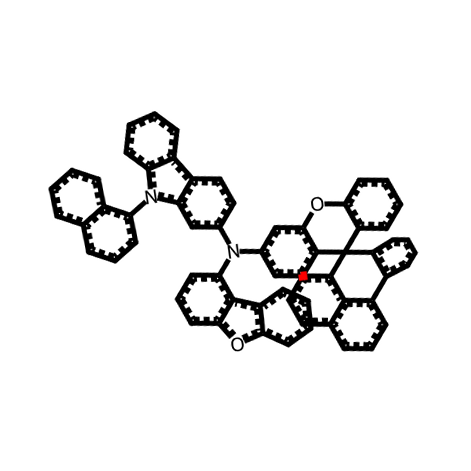 c1ccc2c(c1)Oc1cc(N(c3ccc4c5ccccc5n(-c5cccc6ccccc56)c4c3)c3cccc4oc5ccccc5c34)ccc1C21c2ccccc2-c2cccc3cccc1c23